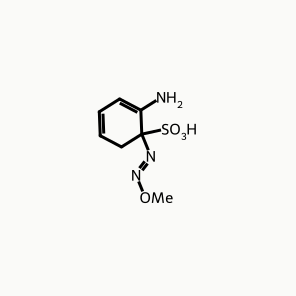 CON=NC1(S(=O)(=O)O)CC=CC=C1N